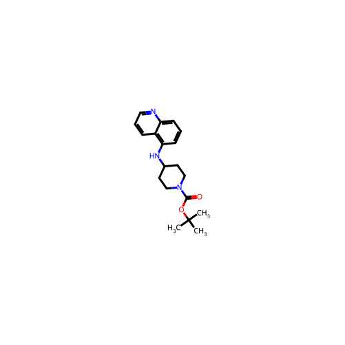 CC(C)(C)OC(=O)N1CCC(Nc2cccc3ncccc23)CC1